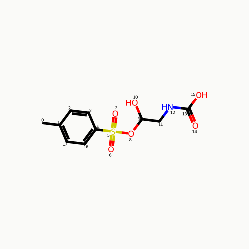 Cc1ccc(S(=O)(=O)OC(O)CNC(=O)O)cc1